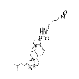 CC(C)CCC[C@H](C)[C@@H]1CCC2C3CC=C4C[C@H](OC(=O)NCCCCCCN=O)CC[C@@]4(C)C3CC[C@]21C